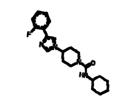 O=C(NC1CCCCC1)N1CCC(n2cnc(-c3ccccc3F)c2)CC1